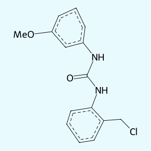 COc1cccc(NC(=O)Nc2ccccc2CCl)c1